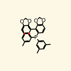 Cc1cc(C)cc(P(c2cc(C)cc(C)c2)c2ccc3c(c2-c2[c]ccc4c2OCO4)OCO3)c1